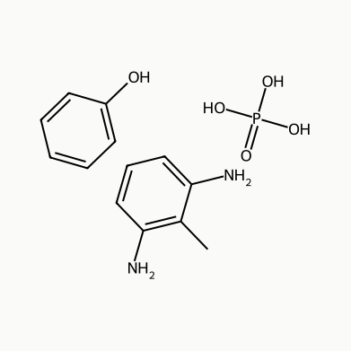 Cc1c(N)cccc1N.O=P(O)(O)O.Oc1ccccc1